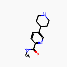 CNC(=O)c1ccc(C2CCNCC2)cn1